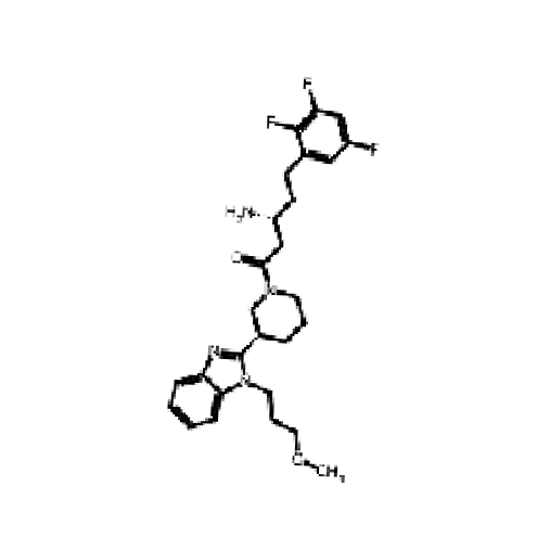 COCCCn1c([C@@H]2CCCN(C(=O)C[C@H](N)CCc3cc(F)cc(F)c3F)C2)nc2ccccc21